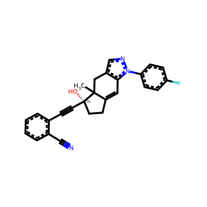 CC12Cc3cnn(-c4ccc(F)cc4)c3C=C1CC[C@@]2(O)C#Cc1ccccc1C#N